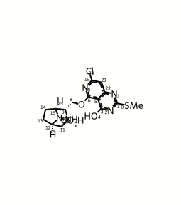 CSc1nc(O)c2c(OC[C@@H]3NC[C@H]4CC[C@@H]3N4C(=O)O)nc(Cl)cc2n1